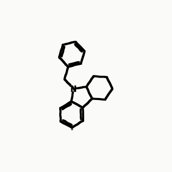 [c]1ccc2c(c1)C1CCCCC1N2Cc1ccccc1